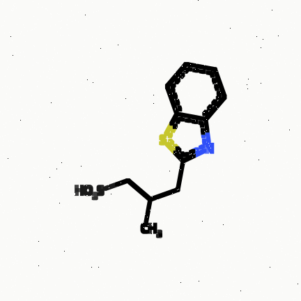 CC(Cc1nc2ccccc2s1)CS(=O)(=O)O